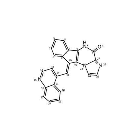 O=c1[nH]c2c3ccccc3/c(=C\c3ccnc4ccccc34)c2n2ccnc12